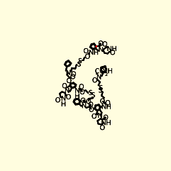 O=C(O)CN(Cc1ccccc1)C(=O)CCSSCCCOC(=O)Nc1ccc(OC(=O)CN(Cc2ccccc2)C(=O)OCCSSCCOC(=O)Nc2ccc(OC(=O)CN(Cc3ccccc3)C(=O)CCCSSCCOC(=O)Nc3cccc4c3CN(C3CCC(=O)NC3=O)C4=O)c3c2CN(C2CCC(=O)NC2=O)C3=O)c2c1CN(C1CCC(=O)NC1=O)C2=O